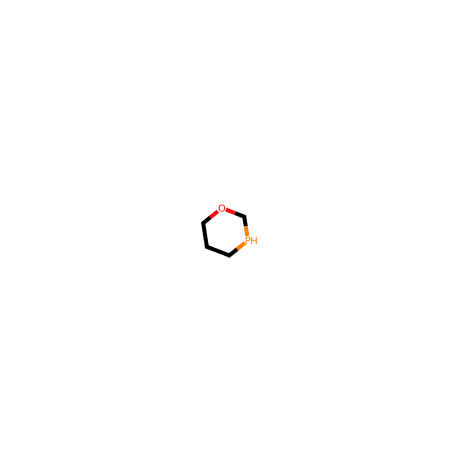 C1COCPC1